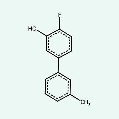 Cc1cccc(-c2ccc(F)c(O)c2)c1